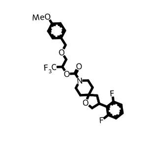 COc1ccc(COCC(OC(=O)N2CCC3(CC2)CC(c2c(F)cccc2F)CO3)C(F)(F)F)cc1